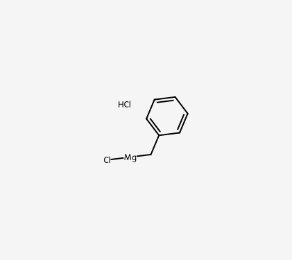 Cl.[Cl][Mg][CH2]c1ccccc1